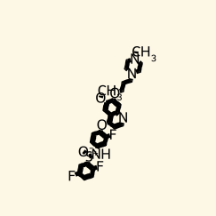 COc1cc2c(Oc3ccc(N[S+]([O-])c4cc(F)ccc4F)cc3F)ccnc2cc1OCCCN1CCN(C)CC1